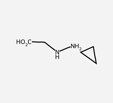 C1CC1.NNCC(=O)O